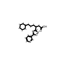 O=C(O)CC(CCCC1CCCCC1)c1noc(-c2cccnc2)n1